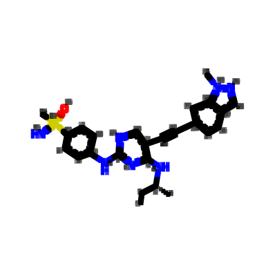 CC[C@@H](C)Nc1nc(Nc2ccc(S(C)(=N)=O)cc2)ncc1C#Cc1ccc2cnn(C)c2c1